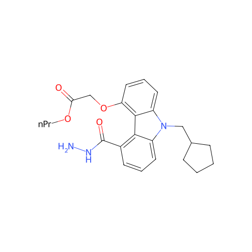 CCCOC(=O)COc1cccc2c1c1c(C(=O)NN)cccc1n2CC1CCCC1